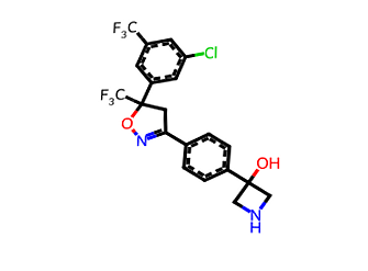 OC1(c2ccc(C3=NOC(c4cc(Cl)cc(C(F)(F)F)c4)(C(F)(F)F)C3)cc2)CNC1